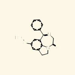 COc1cc2c3c(c1)C(c1ccccc1)=NCC(=O)N3CC2